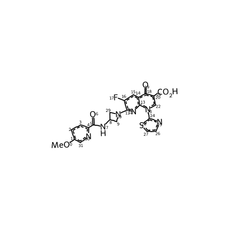 COc1ccc(C(=O)NC2CN(c3nc4c(cc3F)c(=O)c(C(=O)O)cn4-c3nccs3)C2)nc1